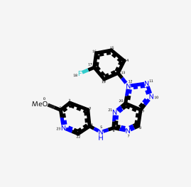 COc1ccc(Nc2ncc3nnn(-c4cccc(F)c4)c3n2)cn1